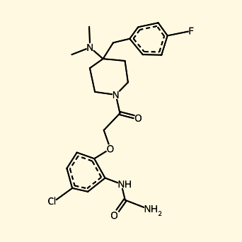 CN(C)C1(Cc2ccc(F)cc2)CCN(C(=O)COc2ccc(Cl)cc2NC(N)=O)CC1